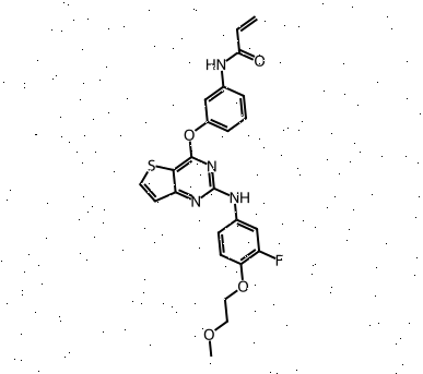 C=CC(=O)Nc1cccc(Oc2nc(Nc3ccc(OCCOC)c(F)c3)nc3ccsc23)c1